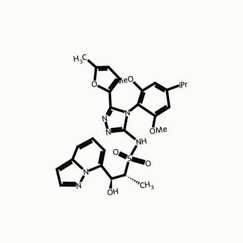 COc1cc(C(C)C)cc(OC)c1-n1c(NS(=O)(=O)[C@H](C)[C@@H](O)c2cccc3ccnn23)nnc1-c1ccc(C)o1